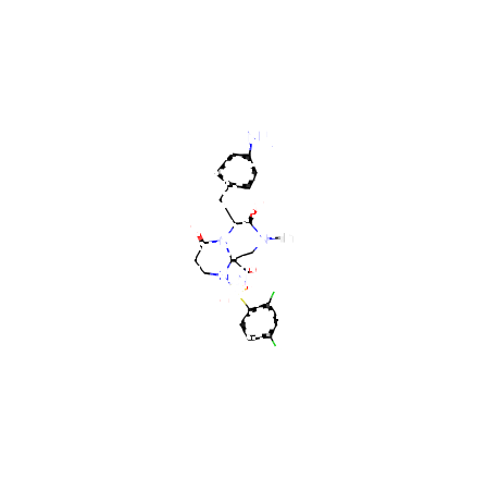 CC(C)N1CC2(C(N)=O)N(C(=O)[C]CN2S(=O)(=O)c2ccc(Cl)cc2Cl)C(Cc2ccc(N)cc2)C1=O